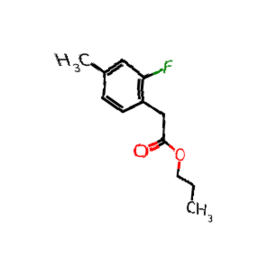 CCCOC(=O)Cc1ccc(C)cc1F